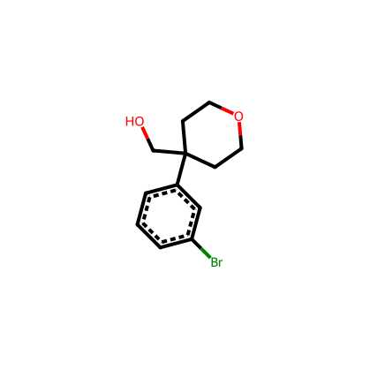 OCC1(c2cccc(Br)c2)CCOCC1